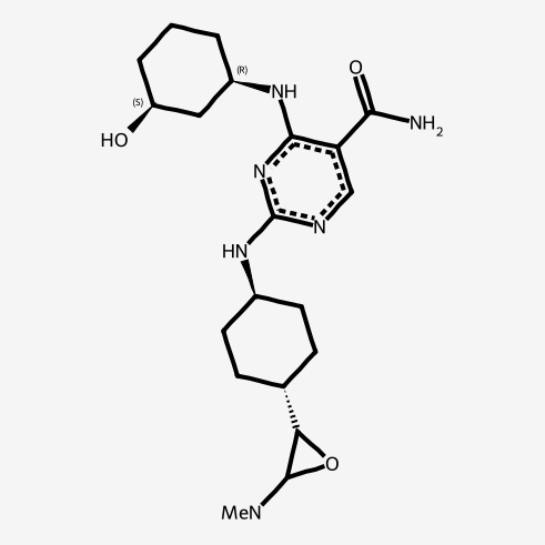 CNC1OC1[C@H]1CC[C@H](Nc2ncc(C(N)=O)c(N[C@@H]3CCC[C@H](O)C3)n2)CC1